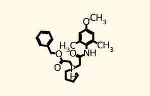 COc1cc(C)c(NC(=O)C[PH]2(CC(=O)OCc3ccccc3)CCCC2)c(C)c1